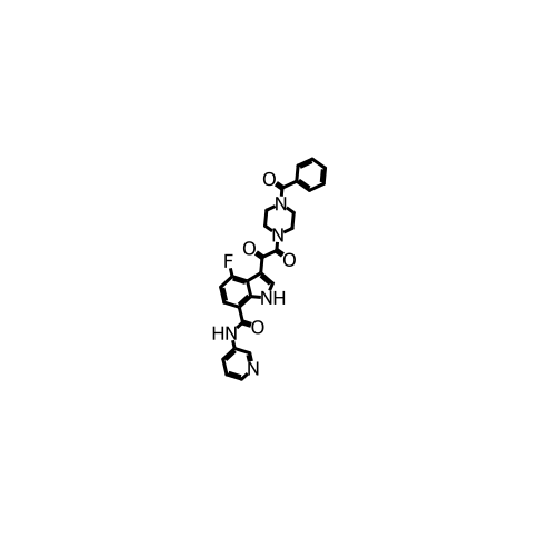 O=C(Nc1cccnc1)c1ccc(F)c2c(C(=O)C(=O)N3CCN(C(=O)c4ccccc4)CC3)c[nH]c12